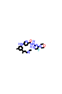 C=C/N=C\C=C(/C)c1cc(C)cc(Nc2ccc(C(=O)NNC3=NCC(F)C(N4CCOCC4)=N3)nc2)c1